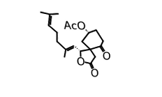 CC(=O)O[C@@H]1CCC(=O)C2(CC(=O)O[C@@H]2/C=C(\C)CCC=C(C)C)C1